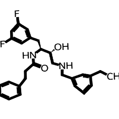 CCc1cccc(CNC[C@@H](O)[C@H](Cc2cc(F)cc(F)c2)NC(=O)CCc2ccccc2)c1